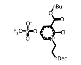 CCCCCCCCCCCC[n+]1cccc(C(=O)OCCCC)c1Cl.O=S(=O)([O-])C(F)(F)F